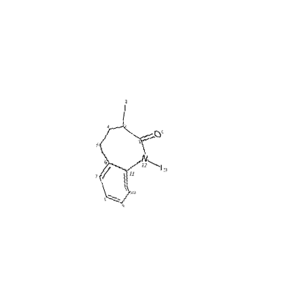 O=C1C(I)CCc2ccccc2N1I